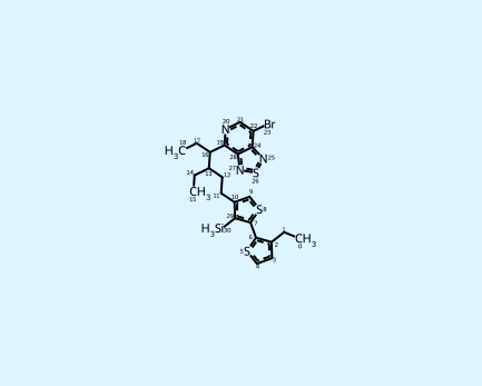 CCc1ccsc1-c1scc(CCC(CC)C(CC)c2ncc(Br)c3nsnc23)c1[SiH3]